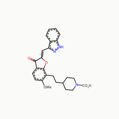 COc1ccc2c(c1CCC1CCN(C(=O)O)CC1)O/C(=C\c1n[nH]c3ccccc13)C2=O